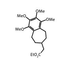 CCOC(=O)CC1CCc2c(c(OC)c(OC)c(OC)c2OC)CC1